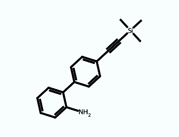 C[Si](C)(C)C#Cc1ccc(-c2ccccc2N)cc1